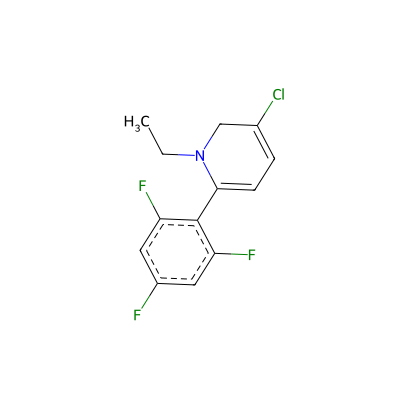 CCN1CC(Cl)=CC=C1c1c(F)cc(F)cc1F